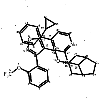 FC(F)(F)Oc1ccccc1-c1noc(C2CC2)c1COC1CC2CCC(C1)C2Nc1nccc(-c2ccccc2)n1